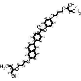 C=CC(=C)OCCCOc1ccc(OC(=O)c2ccc(-c3ccc4cc(OCCCO/C(C=C)=C\O)ccc4c3)cc2)cc1